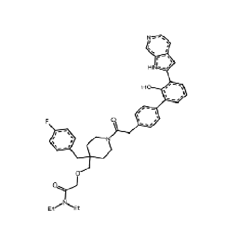 CCN(CC)C(=O)COCC1(Cc2ccc(F)cc2)CCN(C(=O)Cc2ccc(-c3cccc(-c4cc5ccncc5[nH]4)c3O)cc2)CC1